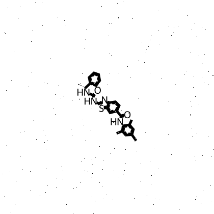 Cc1cc(C)c(NC(=O)c2ccc3nc(NC(=O)N[C@H](C)c4ccccc4)sc3c2)c(C)c1